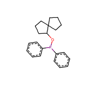 c1ccc(P(OC2CCCC23CCCC3)c2ccccc2)cc1